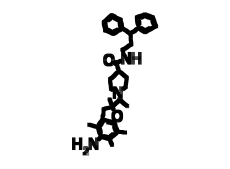 Cc1c(C)c2c(c(C)c1N)CC(C)(C(C)N1CCC(C(=O)NCCC(c3ccccc3)c3ccccc3)CC1)O2